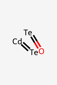 O=[Te].[Cd]=[Te]